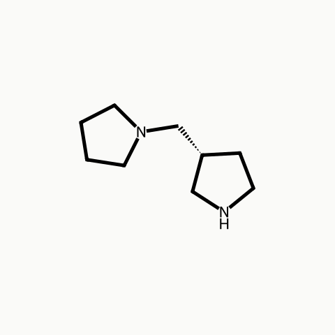 C1CCN(C[C@@H]2CCNC2)C1